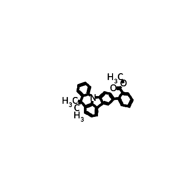 COC(=O)c1ccccc1-c1ccc2c(c1)c1cccc3c1n2-c1ccccc1C3(C)C